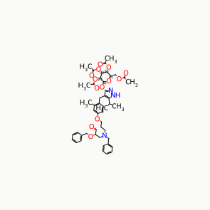 CC(=O)OC[C@H]1O[C@@H](Oc2n[nH]c(C(C)C)c2Cc2ccc(OCCCN(Cc3ccccc3)CC(C=O)OCc3ccccc3)cc2C)[C@H](OC(C)=O)[C@@H](OC(C)=O)[C@@H]1OC(C)=O